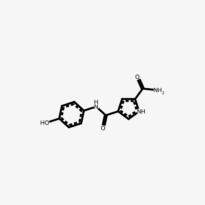 NC(=O)c1cc(C(=O)Nc2ccc(O)cc2)c[nH]1